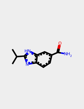 CC(C)c1nc2ccc(C(N)=O)cc2[nH]1